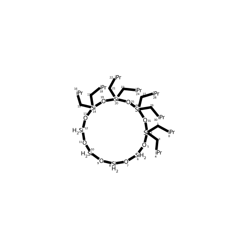 CC(C)C[Si]1(CC(C)C)O[SiH2]O[SiH2]O[SiH2]O[SiH2]O[Si](CC(C)C)(CC(C)C)O[Si](CC(C)C)(CC(C)C)O[Si](CC(C)C)(CC(C)C)O1